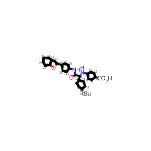 CC(C)(C)c1ccc(C(Nc2ccc(C(=O)O)cc2)C(=O)Nc2ccc(-c3cc4ccccc4o3)cc2)cc1